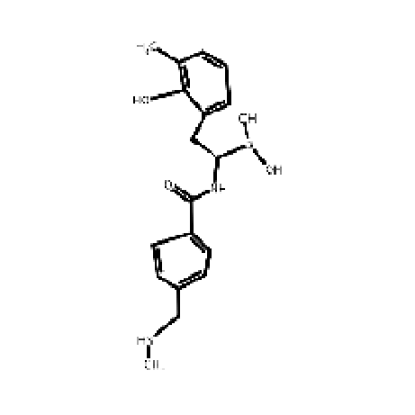 CNCc1ccc(C(=O)N[C@@H](Cc2cccc(C)c2O)B(O)O)cc1